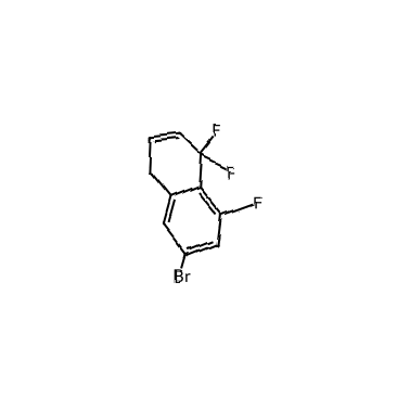 Fc1cc(Br)cc2c1C(F)(F)C=CC2